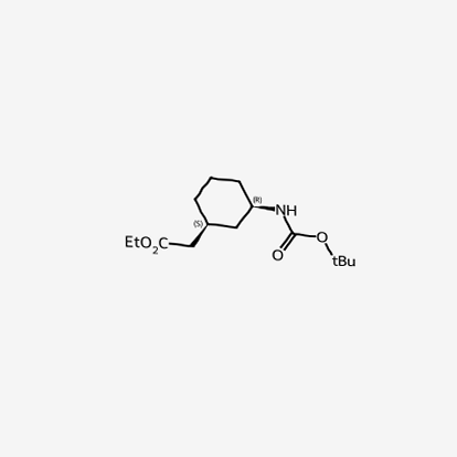 CCOC(=O)C[C@H]1CCC[C@@H](NC(=O)OC(C)(C)C)C1